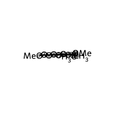 COCCOCCOCCOCCOCCOCCOCCC[Si](C)(C)OC